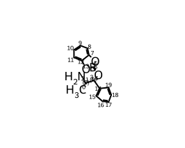 C[C@H](N)[C@H](OB1Oc2ccccc2O1)c1ccccc1